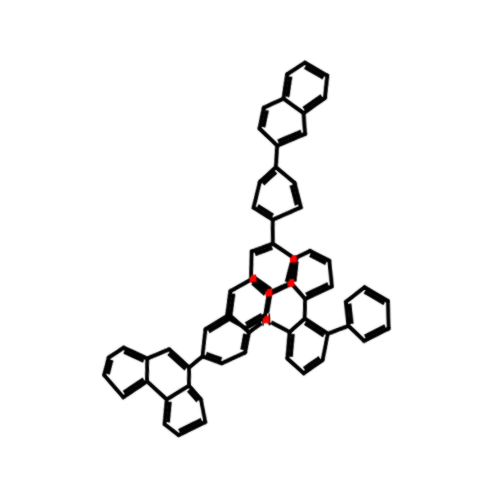 c1ccc(-c2ccccc2-c2c(-c3ccccc3)cccc2N(c2ccc(-c3ccc(-c4ccc5ccccc5c4)cc3)cc2)c2ccc(-c3cc4ccccc4c4ccccc34)cc2)cc1